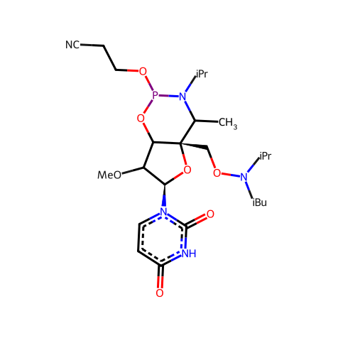 CCC(C)N(OC[C@@]12O[C@@H](n3ccc(=O)[nH]c3=O)C(OC)C1OP(OCCC#N)N(C(C)C)C2C)C(C)C